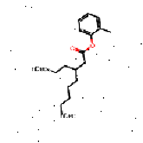 CCCCCCCCCCCCCCC(CCCCCCCCCCCC)CC(=O)Oc1ccccc1C